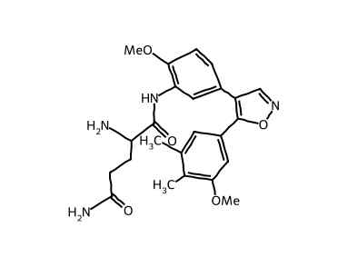 COc1ccc(-c2cnoc2-c2cc(C)c(C)c(OC)c2)cc1NC(=O)C(N)CCC(N)=O